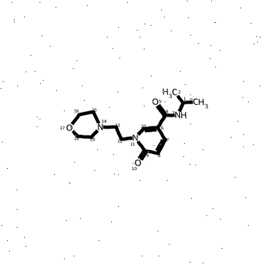 CC(C)NC(=O)c1ccc(=O)n(CCN2CCOCC2)c1